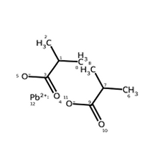 CC(C)C(=O)[O-].CC(C)C(=O)[O-].[Pb+2]